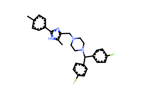 Cc1ccc(-c2nc(CN3CCN(C(c4ccc(F)cc4)c4ccc(F)cc4)CC3)c(C)[nH]2)cc1